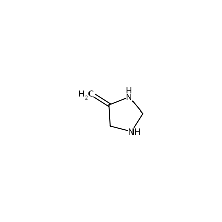 C=C1CNCN1